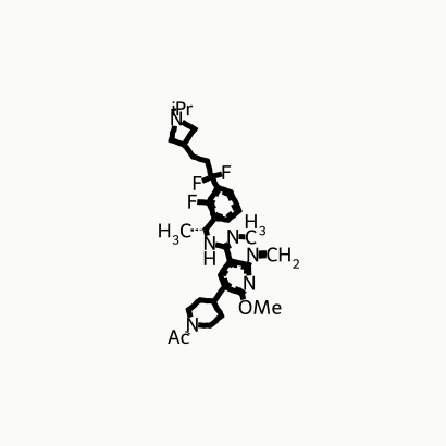 C=Nc1nc(OC)c(C2CCN(C(C)=O)CC2)cc1/C(=N\C)N[C@H](C)c1cccc(C(F)(F)CCC2CN(C(C)C)C2)c1F